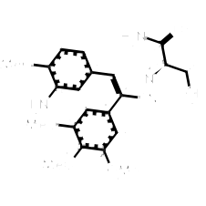 COc1ccc(/C=C(/C#N)c2cc(OC)c(OC)c(OC)c2)cc1N.NC(=O)[C@H](N)CO